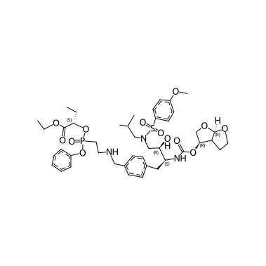 CCOC(=O)[C@H](CC)OP(=O)(CCNCc1ccc(C[C@H](NC(=O)O[C@H]2CO[C@H]3OCCC32)[C@H](O)CN(CC(C)C)S(=O)(=O)c2ccc(OC)cc2)cc1)Oc1ccccc1